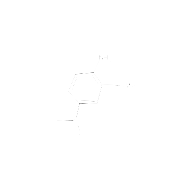 COc1cc([S+](C)[O-])ccc1N